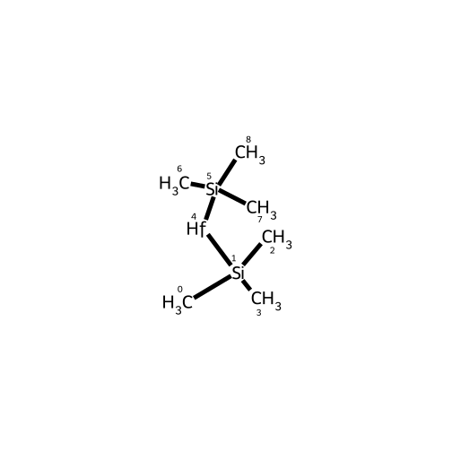 C[Si](C)(C)[Hf][Si](C)(C)C